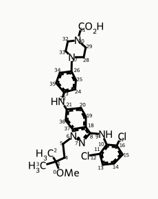 COC(C)(C)CCn1nc(Nc2c(Cl)cccc2Cl)c2ccc(Nc3ccc(N4CCN(C(=O)O)CC4)cc3)cc21